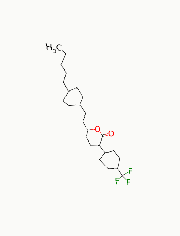 CCCCCC1CCC(CCC2CCC(C3CCC(C(F)(F)F)CC3)C(=O)O2)CC1